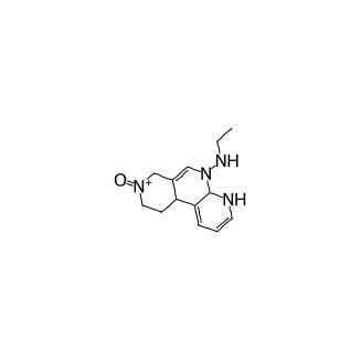 CCNN1C=C2C[N+](=O)CCC2C2=CC=CNC21